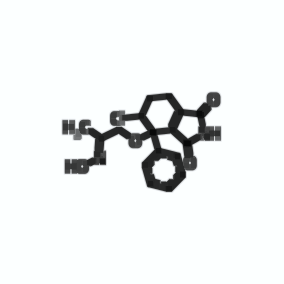 CC(COC1(c2ccccc2)C2=C(CCC1Cl)C(=O)NC2=O)=NO